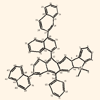 C[Si]1(C)c2ccccc2C2C=c3c(-c4ccc(-c5ccc6ccccc6c5)c5ccccc45)c4ccc(-c5cccc6ccccc56)cc4c(-c4ccccc4)c3=CC21